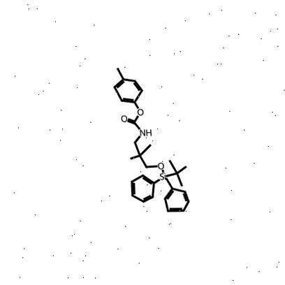 Cc1ccc(OC(=O)NCC(C)(C)CO[Si](c2ccccc2)(c2ccccc2)C(C)(C)C)cc1